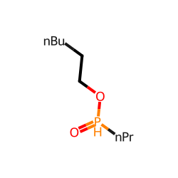 CCCCCCO[PH](=O)CCC